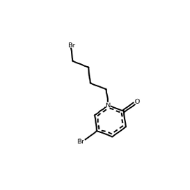 O=c1ccc(Br)cn1CCCCBr